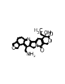 CC[C@@]1(O)C(=O)OCc2c1cc1n(c2=O)Cc2c-1nc1ccc3c(c1c2CN)COC3